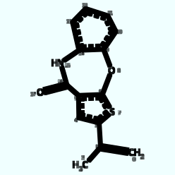 C=C(C)c1cc2c(s1)Oc1ccccc1NC2=O